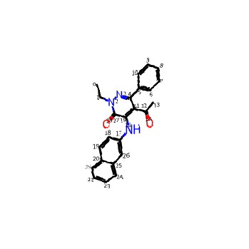 CCn1nc(-c2ccccc2)c(C(C)=O)c(Nc2ccc3ccccc3c2)c1=O